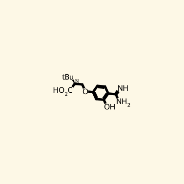 CC(C)(C)[C@@H](COc1ccc(C(=N)N)c(O)c1)C(=O)O